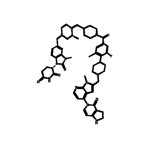 Cc1cc(C(=O)N2CCC(CN3CCN(Cc4ccc5c(c4)n(C)c(=O)n5[C@H]4CCC(=O)NC4=O)C[C@@H]3C)CC2)cc(F)c1C1CCN(Cc2cc3c(-n4ccc5c(c4=O)CCN5)ccnc3n2C)CC1